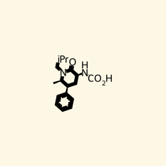 CC(C)CN1C(=O)[C@@H](NC(=O)O)C[C@@H](c2ccccc2)[C@H]1C